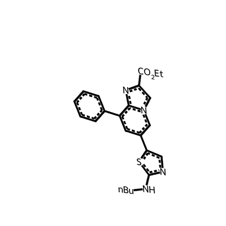 CCCCNc1ncc(-c2cc(-c3ccccc3)c3nc(C(=O)OCC)cn3c2)s1